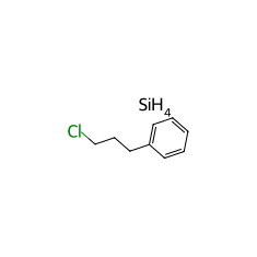 ClCCCc1ccccc1.[SiH4]